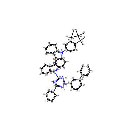 CC1(C)c2ccc(-n3c4ccccc4c4c5c6ccccc6n(-c6nc(-c7ccccc7)nc(-c7cccc(-c8ccccc8)c7)n6)c5ccc43)cc2C(C)(C)C1(C)C